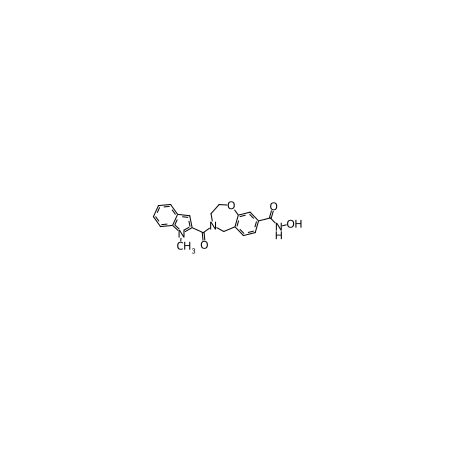 Cn1c(C(=O)N2CCOc3cc(C(=O)NO)ccc3C2)cc2ccccc21